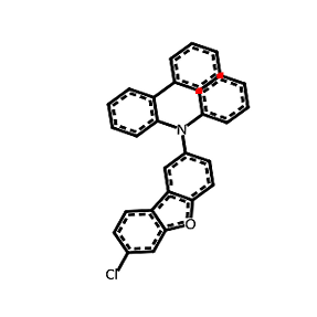 Clc1ccc2c(c1)oc1ccc(N(c3ccccc3)c3ccccc3-c3ccccc3)cc12